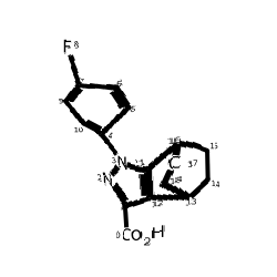 O=C(O)c1nn(-c2ccc(F)cc2)c2c1C1CCC2CC1